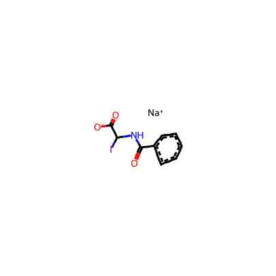 O=C(NC(I)C(=O)[O-])c1ccccc1.[Na+]